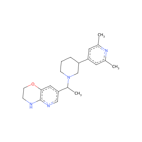 Cc1cc(C2CCCN(C(C)c3cnc4c(c3)OCCN4)C2)cc(C)n1